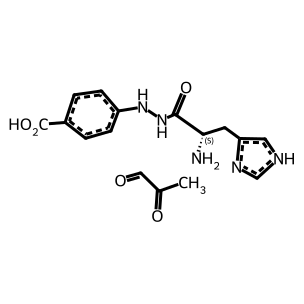 CC(=O)C=O.N[C@@H](Cc1c[nH]cn1)C(=O)NNc1ccc(C(=O)O)cc1